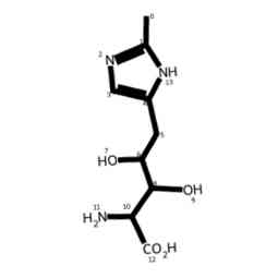 Cc1ncc(CC(O)C(O)C(N)C(=O)O)[nH]1